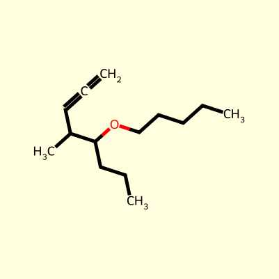 C=C=CC(C)C(CCC)OCCCCC